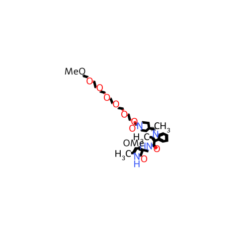 COCCOCCOCCOCCOCCOCCOC(=O)N1CCC([C@@H](C)n2c(C)c(C(=O)NCc3c(OC)cc(C)[nH]c3=O)c3ccccc32)CC1